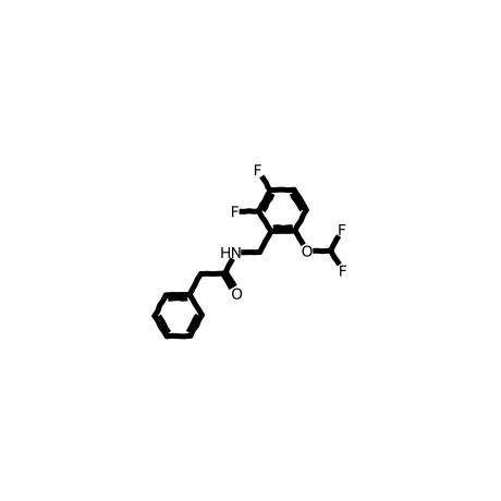 O=C(Cc1ccccc1)NCc1c(OC(F)F)ccc(F)c1F